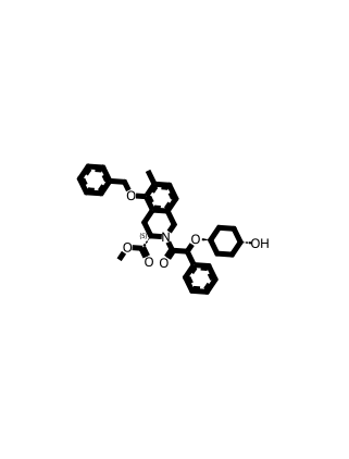 COC(=O)[C@@H]1Cc2c(ccc(C)c2OCc2ccccc2)CN1C(=O)C(O[C@H]1CC[C@@H](O)CC1)c1ccccc1